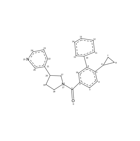 O=C(c1ccc(C2CC2)c(-c2ccccc2)c1)N1CCC(c2cccnc2)C1